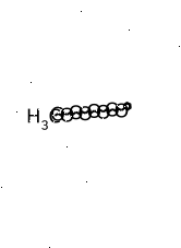 COCCOCCOCCOCCOCCOCCOCCOc1ccccc1